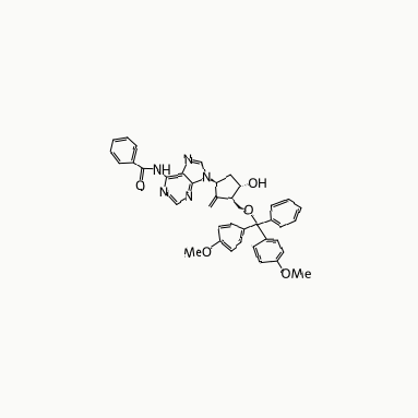 C=C1[C@H](COC(c2ccccc2)(c2ccc(OC)cc2)c2ccc(OC)cc2)[C@@H](O)C[C@@H]1n1cnc2c(NC(=O)c3ccccc3)ncnc21